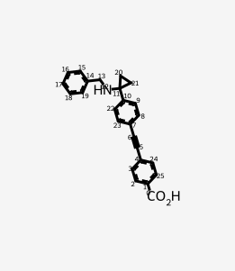 O=C(O)c1ccc(C#Cc2ccc(C3(NCc4ccccc4)CC3)cc2)cc1